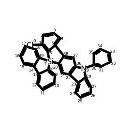 Clc1cccc2c1[Si]1(c3ccccc3-c3ccccc31)c1cc3c4ccccc4n(-c4ccccc4)c3cc1-2